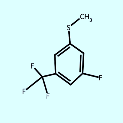 CSc1cc(F)cc(C(F)(F)F)c1